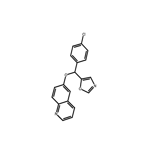 Clc1ccc(C(Oc2ccc3ncccc3c2)c2cnco2)cc1